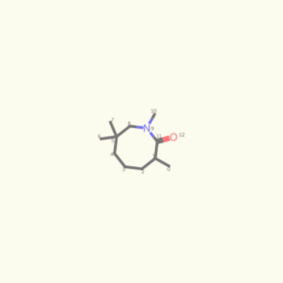 CC1CCCC(C)(C)CN(C)C1=O